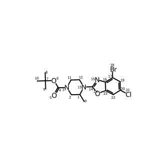 CC1CN(C(=O)OC(C)(C)C)CCN1c1nc2c(Br)cc(Cl)cc2o1